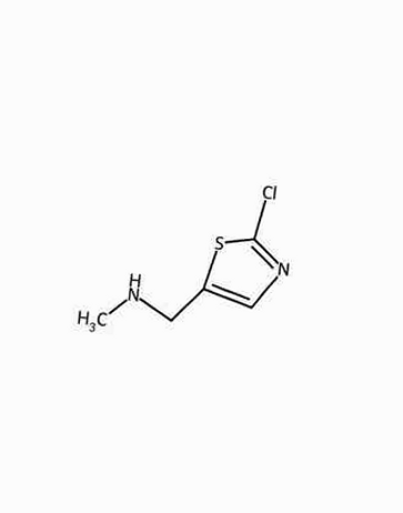 CNCc1cnc(Cl)s1